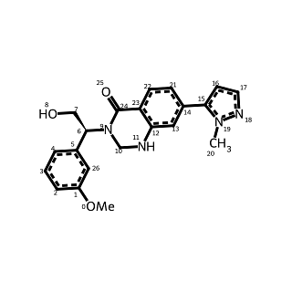 COc1cccc([C@@H](CO)N2CNc3cc(-c4ccnn4C)ccc3C2=O)c1